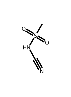 CS(=O)(=O)NC#N